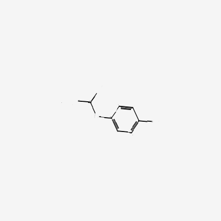 CCOC(=O)C(C)Nc1ccc(F)cc1